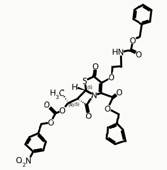 C[C@@H](OC(=O)OCc1ccc([N+](=O)[O-])cc1)[C@H]1C(=O)N2C(C(=O)OCc3ccccc3)=C(OCCNC(=O)OCc3ccccc3)C(=O)S[C@@H]12